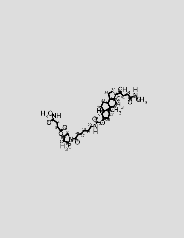 CNC(=O)CCC(=O)O[C@@H]1C[C@@H](C)N(C(=O)CCCCCNC(=O)O[C@@H]2CC[C@]3(C)C4CC[C@@]5(C)C(CC[C@@H]5[C@H](C)CCC(=O)NC)C4CC[C@@H]3C2)C1